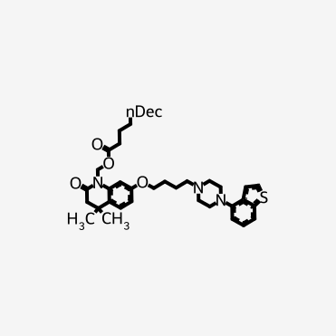 CCCCCCCCCCCCCC(=O)OCN1C(=O)CC(C)(C)c2ccc(OCCCCN3CCN(c4cccc5sccc45)CC3)cc21